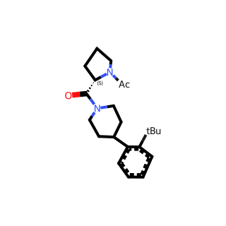 CC(=O)N1CCC[C@H]1C(=O)N1CCC(c2ccccc2C(C)(C)C)CC1